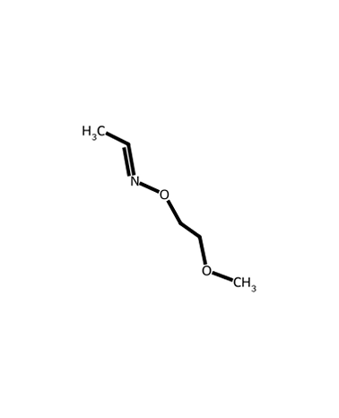 CC=NOCCOC